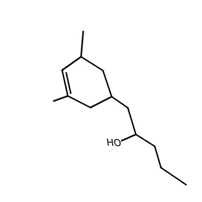 CCCC(O)CC1CC(C)=CC(C)C1